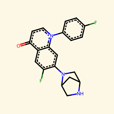 O=c1ccn(-c2ccc(F)cc2)c2cc(N3CC4CC3CN4)c(F)cc12